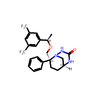 C[C@@H](OC[C@@]1(c2ccccc2)CC[C@H]2CN1NC(=O)N2)c1cc(C(F)(F)F)cc(C(F)(F)F)c1